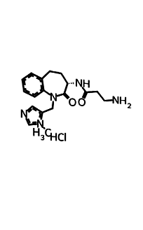 Cl.Cn1cncc1CN1C(=O)[C@@H](NC(=O)CCN)CCc2ccccc21